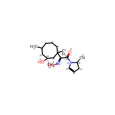 CC1CCCC(C)(/C(=N\O)C(=O)N2C=CCC2C#N)C[C@@](C)(O)C1